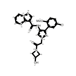 COc1ccc(Cl)cc1-c1nn(CC(=O)N2CC(O)C2)cc1NC(=O)c1cnn2cccnc12